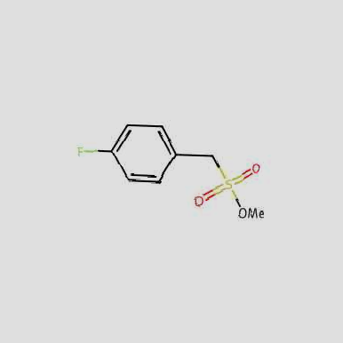 COS(=O)(=O)Cc1ccc(F)cc1